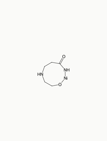 O=C1CCNCC[O][Ni][NH]1